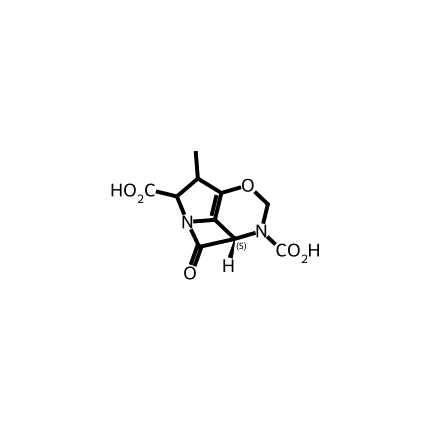 CC1C2=C3[C@@H](C(=O)N3C1C(=O)O)N(C(=O)O)CO2